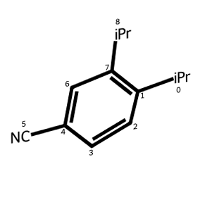 CC(C)c1ccc(C#N)cc1C(C)C